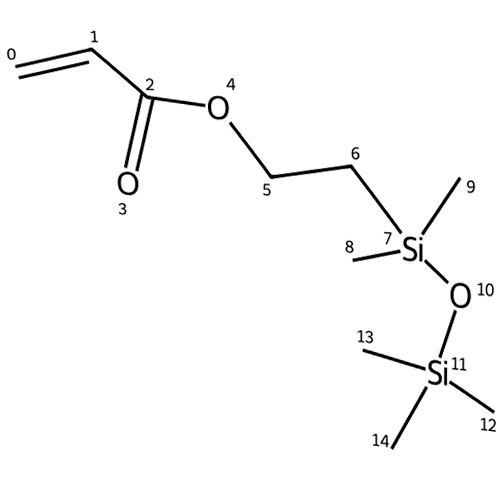 C=CC(=O)OCC[Si](C)(C)O[Si](C)(C)C